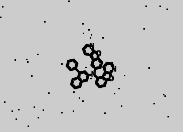 c1ccc(-c2cc(N(c3ccc4oc5ncccc5c4c3)c3cccc4oc5ncccc5c34)cc3ccccc23)cc1